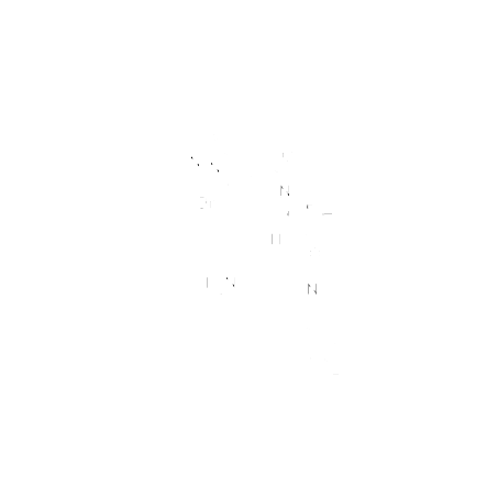 CC(C)(N)c1cc(OC2[C@H]3CN(C(=O)c4cc(Br)n5nc(C6CC6)cc5c4)C[C@@H]23)nc(-c2ccc(F)cc2)c1